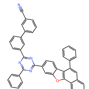 N#Cc1cccc(-c2cccc(-c3nc(-c4ccccc4)nc(-c4ccc5c(c4)oc4c6ccccc6cc(-c6ccccc6)c54)n3)c2)c1